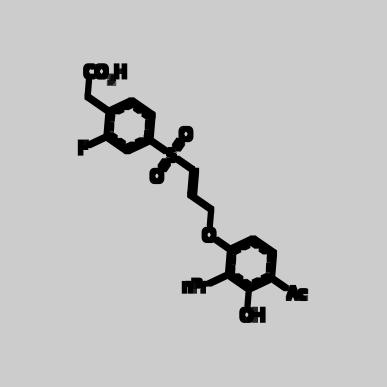 CCCc1c(OCC=CS(=O)(=O)c2ccc(CC(=O)O)c(F)c2)ccc(C(C)=O)c1O